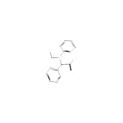 C=C(C)C(c1ccccc1)N(CO)c1ccccc1